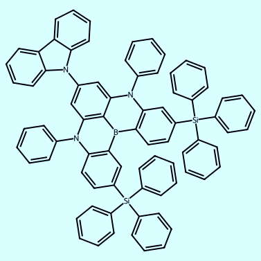 c1ccc(N2c3ccc([Si](c4ccccc4)(c4ccccc4)c4ccccc4)cc3B3c4ccc([Si](c5ccccc5)(c5ccccc5)c5ccccc5)cc4N(c4ccccc4)c4cc(-n5c6ccccc6c6ccccc65)cc2c43)cc1